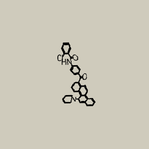 O=C(C1=c2ccc3c(c2CCC1)C(N1CCCCC1)C=c1ccccc1=3)c1ccc(NC(=O)c2ccccc2Cl)cc1